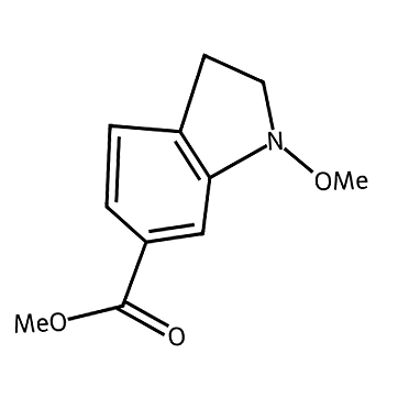 COC(=O)c1ccc2c(c1)N(OC)CC2